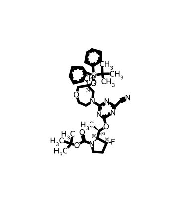 C[C@@H](Oc1nc(C#N)nc(N2CCOC[C@@](C)(O[Si](c3ccccc3)(c3ccccc3)C(C)(C)C)C2)n1)[C@@H]1[C@H](F)CCN1C(=O)OC(C)(C)C